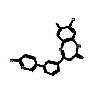 CCc1ccc(-c2cccc(C3=Nc4cc(C)c(Cl)cc4NC(=O)C3)c2)cn1